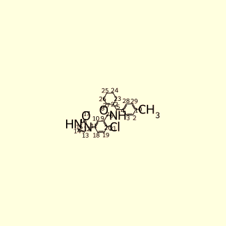 Cc1ccc(C(NC(=O)c2cc(-n3cc[nH]c3=O)ccc2Cl)C2CCCCC2)cc1